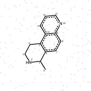 CC1NCCc2c1ccc1ncccc21